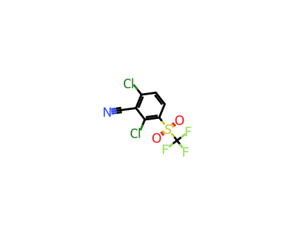 N#Cc1c(Cl)ccc(S(=O)(=O)C(F)(F)F)c1Cl